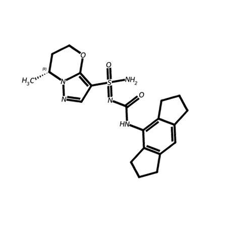 C[C@@H]1CCOc2c(S(N)(=O)=NC(=O)Nc3c4c(cc5c3CCC5)CCC4)cnn21